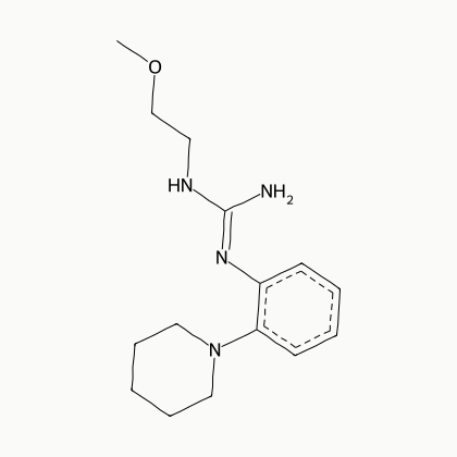 COCCN/C(N)=N/c1ccccc1N1CCCCC1